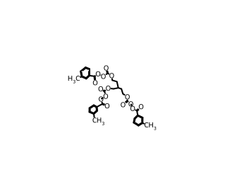 Cc1cccc(C(=O)OOC(=O)OCCC(CCOC(=O)OOC(=O)c2cccc(C)c2)COC(=O)OOC(=O)c2cccc(C)c2)c1